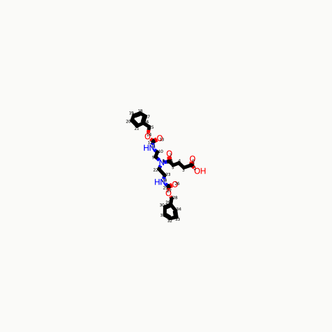 O=C(O)CCCC(=O)N(CCNC(=O)OCc1ccccc1)CCNC(=O)OCc1ccccc1